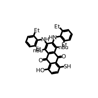 CCCCc1c(Nc2c(CC)cccc2CC)c(Nc2c(CC)cccc2CC)c(CCCC)c2c1C(=O)c1c(O)ccc(S)c1C2=O